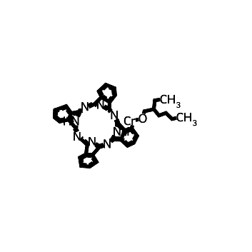 CCCCC(CC)C[O][Cr][c]1cccc2c3nc4nc(nc5[nH]c(nc6nc(nc([nH]3)c12)-c1ccccc1-6)c1ccccc51)-c1ccccc1-4